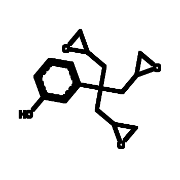 Oc1cccc(C(CC2CO2)(CC2CO2)CC2CO2)c1